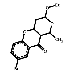 CCOC1CC2Oc3ccc(Br)cc3C(=O)C2C(C)O1